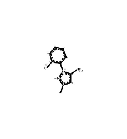 Cc1cc(N)n(-c2ccccc2Cl)n1